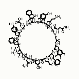 CCCC[C@H]1C(=O)N2C[C@H](O)C[C@@H]2C(=O)N[C@@H](CC(N)=O)C(=O)N[C@@H](C(C)C)C(=O)N(C)[C@@H](Cc2ccccc2)C(=O)N[C@@H](Cc2ccc(O)cc2)C(=O)N(C)[C@H](CCC(=O)O)C(=O)N[C@@H](Cc2c[nH]c3ccccc23)C(=O)N[C@@H](Cc2ccc(O)cc2)C(=O)N[C@@H](CCCCN)C(=O)N[C@H](C(=O)NCC(N)=O)CSCC(=O)N[C@@H](Cc2cc(F)c(F)c(F)c2)C(=O)N(C)[C@@H](CCc2ccccc2)C(=O)N1C